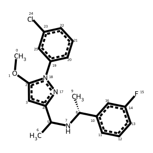 COc1cc(C(C)N[C@H](C)c2cccc(F)c2)nn1-c1cccc(Cl)c1